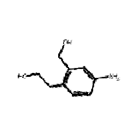 Nc1ccc(CCO)c(CO)c1